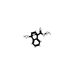 COC(=O)C12C=CC(C)(O1)c1ccccc12